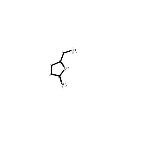 BCC1CCC(N)O1